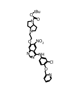 CC(C)(C)OC(=O)N1CCC2C1CCN2CCOc1cc2ncnc(Nc3ccc(OCc4ccccn4)c(Cl)c3)c2cc1[N+](=O)[O-]